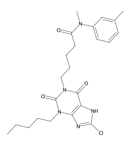 CCCCCn1c(=O)n(CCCCC(=O)N(C)c2cccc(C)c2)c(=O)c2[nH]c(Cl)nc21